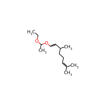 CCOC(C)OC=CC(C)CCC=C(C)C